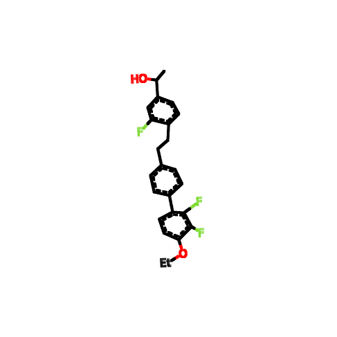 CCOc1ccc(-c2ccc(CCc3ccc(C(C)O)cc3F)cc2)c(F)c1F